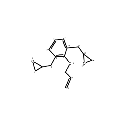 C=CCOc1c(CC2CO2)cccc1CC1CO1